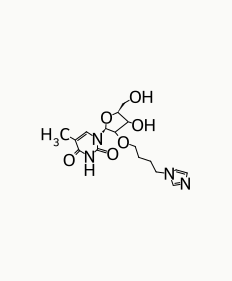 Cc1cn([C@H]2O[C@@H](CO)C(O)C2OCCCCn2ccnc2)c(=O)[nH]c1=O